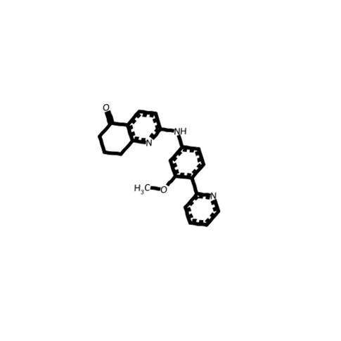 COc1cc(Nc2ccc3c(n2)CCCC3=O)ccc1-c1ccccn1